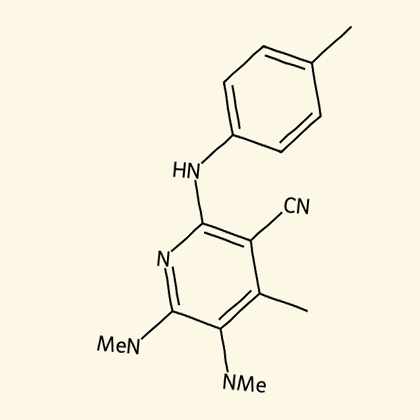 CNc1nc(Nc2ccc(C)cc2)c(C#N)c(C)c1NC